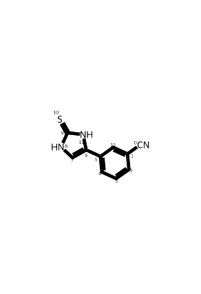 N#Cc1cccc(-c2c[nH]c(=S)[nH]2)c1